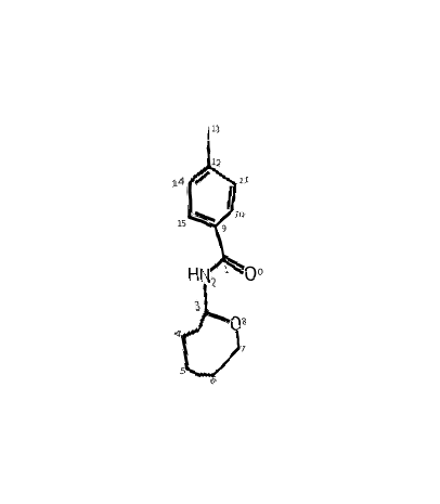 O=C(NC1CCCCO1)c1ccc(I)cc1